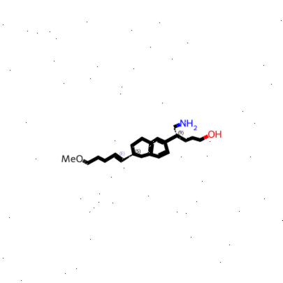 COCCC/C=C/[C@H]1CCc2cc([C@H](CN)CCCO)ccc2C1